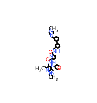 CCc1nc2c(cnn2CC)c(NC2CCOCC2)c1CNC(=O)c1cccc(C(=O)NCc2cccc(-c3cccc(CN4CCN(C)CC4)c3)c2)n1